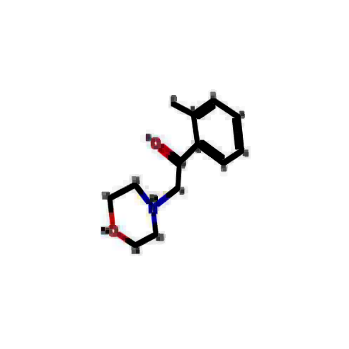 Cc1ccccc1C(=O)CN1CCOCC1